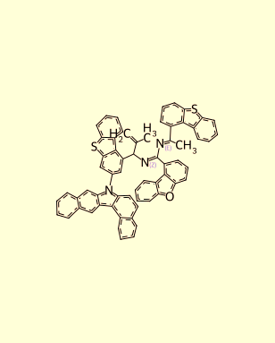 C=C(C)C(/N=C(\N=C(/C)c1cccc2sc3ccccc3c12)c1cccc2oc3ccccc3c12)c1cc(-n2c3cc4ccccc4cc3c3c4ccccc4ccc32)cc2sc3ccccc3c12